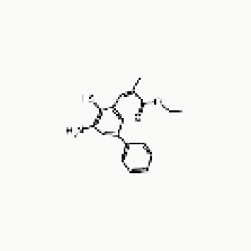 CCOC(=O)C(C)=Cc1cc(-c2ccccc2)cc(N)c1S